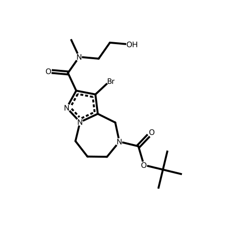 CN(CCO)C(=O)c1nn2c(c1Br)CN(C(=O)OC(C)(C)C)CCC2